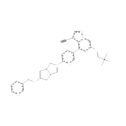 CC(C)(O)COc1cc(-c2ccc(N3CC4CC(OCc5cccnc5)CC4C3)nc2)c2c(C#N)cnn2c1